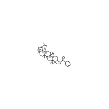 C=C(C)[C@@H]1CC[C@]2(C)CC[C@]3(C)[C@H](CC[C@@H]4[C@@]5(C)CCC(OC(=O)c6ccccc6)C(C)(C)[C@@H]5CC[C@]43C)[C@@H]12